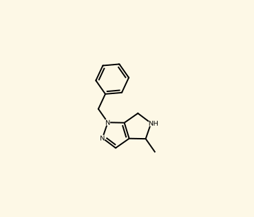 CC1NCc2c1cnn2Cc1ccccc1